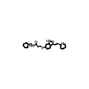 O=C(CCSc1ccc2c(C=Cc3ccccn3)n[nH]c2c1)NCc1ccccc1